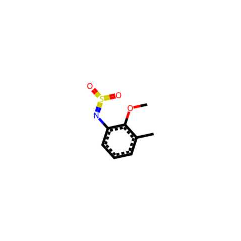 COc1c(C)cccc1N=S(=O)=O